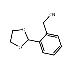 N#CCc1ccccc1C1OCCO1